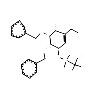 CCC1=C[C@@H](O[Si](C)(C)C(C)(C)C)[C@H](OCc2ccccc2)[C@@H](OCc2ccccc2)[C@@H]1C